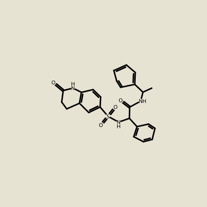 CC(NC(=O)C(NS(=O)(=O)c1ccc2c(c1)CCC(=O)N2)c1ccccc1)c1ccccc1